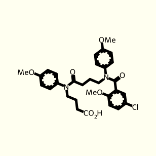 COc1ccc(N(CCCC(=O)O)C(=O)CCCN(C(=O)c2cc(Cl)ccc2OC)c2ccc(OC)cc2)cc1